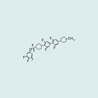 CC1CCC(c2cc(F)c(-c3cc(F)c(C4CCC(C(F)(F)Oc5cc(F)c(F)c(F)c5)CC4)c(F)c3)c(F)c2)CC1